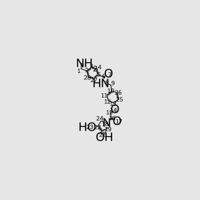 NCc1ccc(C(=O)NCC2=CCC(OCC(=O)N3CC(O)=C(O)C3)C=C2)cc1